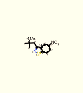 CC(=O)OC(C)(C)Cc1nsc2ccc([N+](=O)[O-])cc12